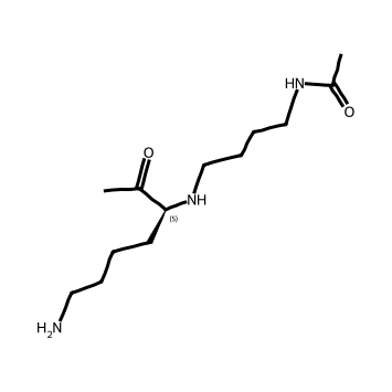 CC(=O)NCCCCN[C@@H](CCCCN)C(C)=O